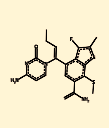 C=C(N)c1cc(/C(=C/CC)n2ccc(N)nc2=O)c2c(F)c(C)sc2c1SC